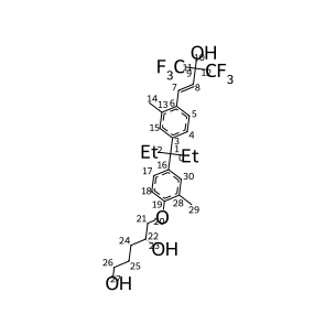 CCC(CC)(c1ccc(C=CC(O)(C(F)(F)F)C(F)(F)F)c(C)c1)c1ccc(OC[C@H](O)CCCO)c(C)c1